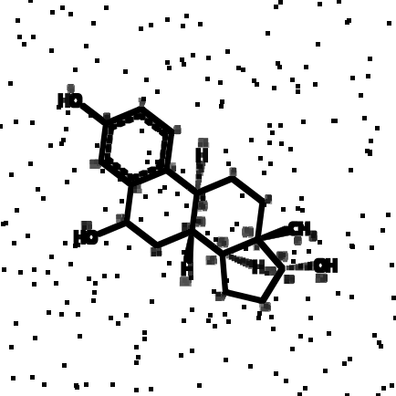 C[C@]12CC[C@@H]3c4ccc(O)cc4C(O)C[C@H]3[C@@H]1CC[C@H]2O